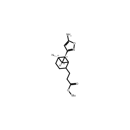 CC(C)(C)OC(=O)CCC1CC[C@@H]2[C@@H]3C1[C@@]23c1cc(N)on1